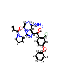 C=CC(=O)N1CCC[C@H]1c1nc(C(=O)c2ccc(Oc3ccccc3)cc2Cl)c2c(N)nccn12